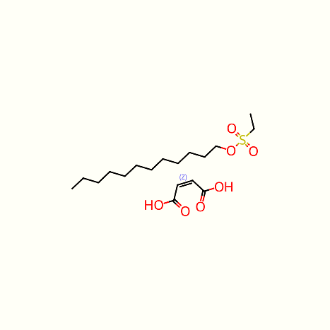 CCCCCCCCCCCCOS(=O)(=O)CC.O=C(O)/C=C\C(=O)O